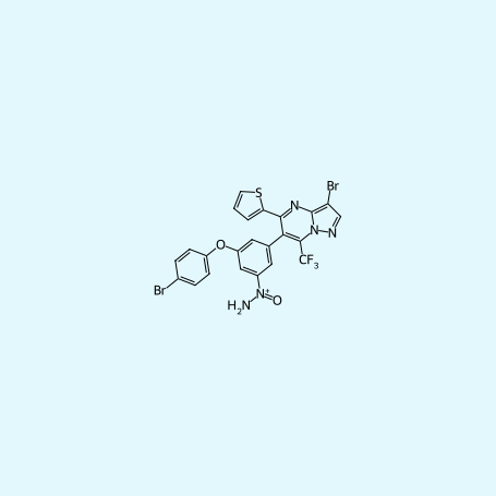 N[N+](=O)c1cc(Oc2ccc(Br)cc2)cc(-c2c(-c3cccs3)nc3c(Br)cnn3c2C(F)(F)F)c1